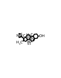 CC[C@H]1C=C2C[C@@H](O)CC[C@]2(C)[C@H]2CC[C@]3(C)C(c4cncs4)=C(C)C[C@H]3[C@H]12